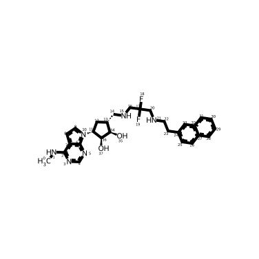 CNc1ncnc2c1ccn2[C@@H]1C[C@H](CNCC(F)(F)CNCCc2ccc3ccccc3c2)[C@@H](O)[C@H]1O